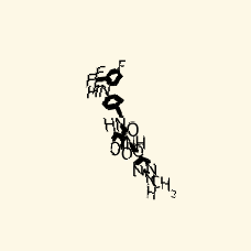 CNc1ncc(OC(=O)N[C@@]2(C(=O)NCc3ccc(Nc4ccc(F)cc4C(F)(F)F)cc3)CCOC2)cn1